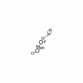 CN1CCN(CCCOc2ccc(-c3nc4cc(Cl)ccc4[nH]3)cc2F)CC1